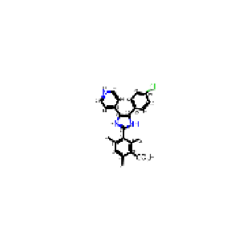 Cc1cc(C)c(-c2nc(-c3ccncc3)c(-c3ccc(Cl)cc3)[nH]2)c(C)c1C(=O)O